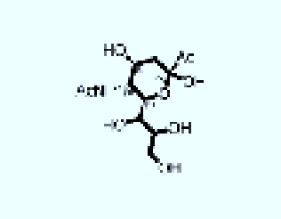 CC(=O)N[C@@H]1[C@@H](O)C[C@@](O)(C(C)=O)O[C@H]1C(O)C(O)CO